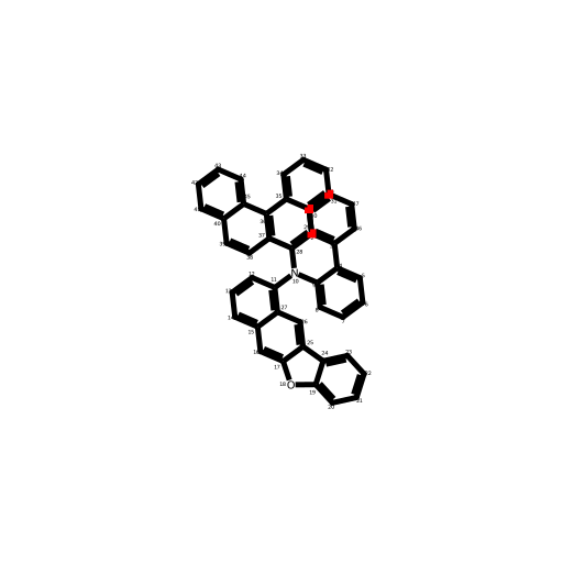 c1ccc(-c2ccccc2N(c2cccc3cc4oc5ccccc5c4cc23)c2cc3ccccc3c3c2ccc2ccccc23)cc1